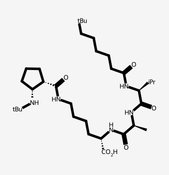 CC(C)[C@H](NC(=O)CCCCCC(C)(C)C)C(=O)N[C@@H](C)C(=O)N[C@@H](CCCCNC(=O)[C@H]1CCC[C@H]1NC(C)(C)C)C(=O)O